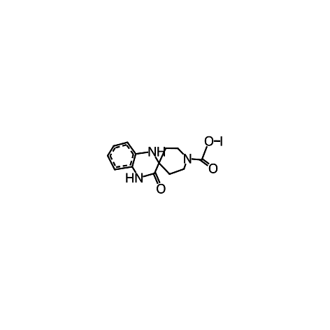 O=C(OI)N1CCC2(CC1)Nc1ccccc1NC2=O